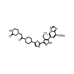 COc1cc(-c2[nH]nc(-c3ncc(C4CCN(C(=O)CN5CCNC(=O)C5)CC4)s3)c2CC(F)(F)F)cn2ncnc12